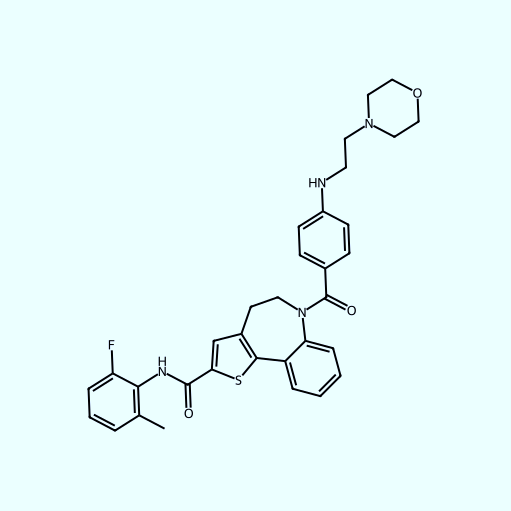 Cc1cccc(F)c1NC(=O)c1cc2c(s1)-c1ccccc1N(C(=O)c1ccc(NCCN3CCOCC3)cc1)CC2